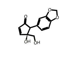 O=C1C=C[C@@](O)(CO)C1c1ccc2c(c1)OCO2